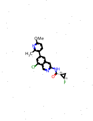 COc1ccc(-c2cc(Cl)c3cnc(NC(=O)[C@@H]4C[C@@H]4F)cc3c2)c(C)n1